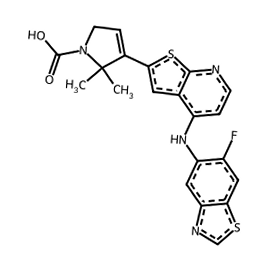 CC1(C)C(c2cc3c(Nc4cc5ncsc5cc4F)ccnc3s2)=CCN1C(=O)O